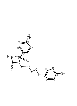 O=C(O)C(CCCCCc1ccc(Cl)cc1)S(=O)(=O)c1ccc(O)cc1